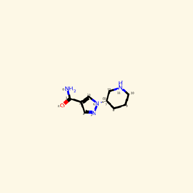 NC(=O)c1cnn([C@H]2CCCNC2)c1